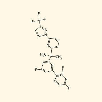 CC(C)(c1cc(F)cc(-c2ccc(F)nc2F)n1)c1cccc(-n2ccc(C(F)(F)F)n2)n1